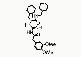 COc1ccc(CC(=O)NC(=N)N[C@@H](CC2CCCCC2)C(=O)NCC2CCCCC2)cc1OC